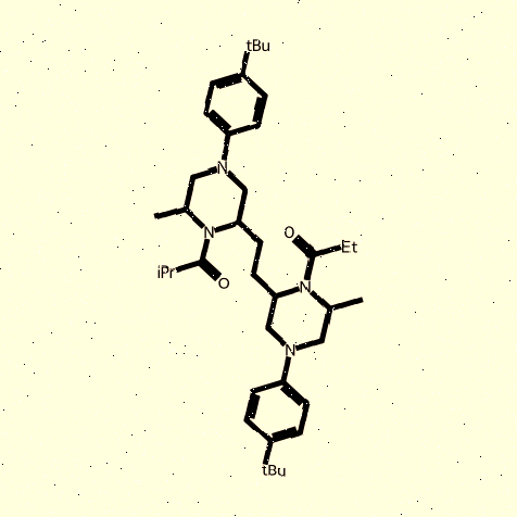 CCC(=O)N1C(C)CN(c2ccc(C(C)(C)C)cc2)CC1CCC1CN(c2ccc(C(C)(C)C)cc2)CC(C)N1C(=O)C(C)C